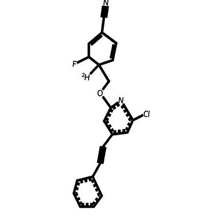 [2H]C1(COc2cc(C#Cc3ccccc3)cc(Cl)n2)C=CC(C#N)=CC1F